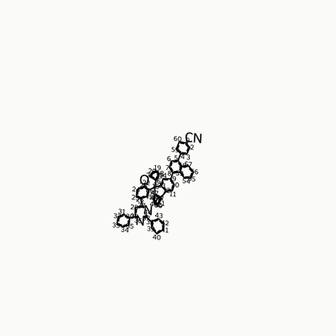 N#Cc1ccc(-c2ccc(-c3ccc4c(c3)C3(c5ccccc5Oc5ccc(-c6cc(-c7ccccc7)nc(-c7ccccc7)n6)cc53)c3ccccc3-4)c3ccccc23)cc1